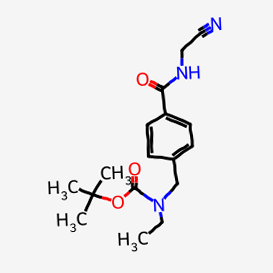 CCN(Cc1ccc(C(=O)NCC#N)cc1)C(=O)OC(C)(C)C